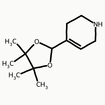 CC1(C)OC(C2=CCNCC2)OC1(C)C